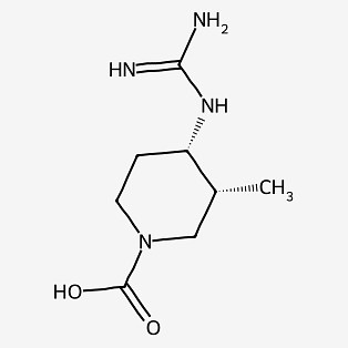 C[C@@H]1CN(C(=O)O)CC[C@@H]1NC(=N)N